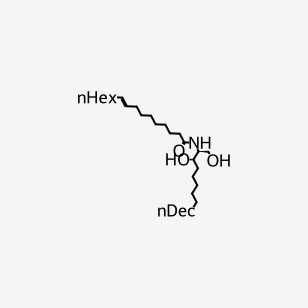 CCCCCCC=CCCCCCCCC(=O)N[C@@H](CO)[C@H](O)CCCCCCCCCCCCCCC